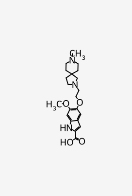 COc1cc2[nH]c(C(=O)O)cc2cc1OCCN1CCC2(CCN(C)CC2)C1